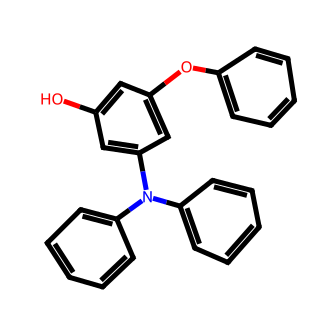 Oc1cc(Oc2ccccc2)cc(N(c2ccccc2)c2ccccc2)c1